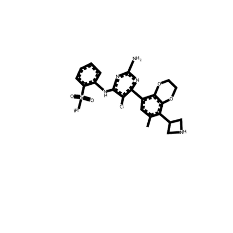 Cc1cc(-c2nc(N)nc(Nc3ccccc3S(=O)(=O)C(C)C)c2Cl)c2c(c1C1CNC1)OCCO2